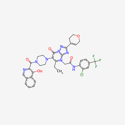 CCc1c(N2CCN(C(=O)c3ncc4ccccc4c3O)CC2)c(=O)n2nc(C3=CCOCC3)nc2n1CC(=O)Nc1ccc(C(F)(F)F)cc1Cl